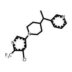 CC(c1cccnc1)C1CCN(c2cnc(C(F)(F)F)c(Cl)c2)CC1